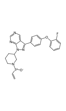 C=C[S+]([O-])N1CCCC(n2nc(-c3ccc(Oc4ccccc4F)cc3)c3cncnc32)C1